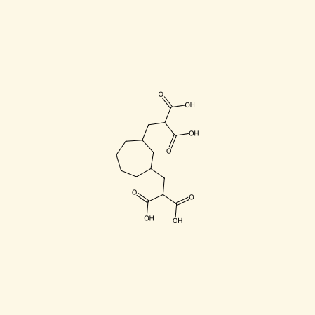 O=C(O)C(CC1CCCCC(CC(C(=O)O)C(=O)O)C1)C(=O)O